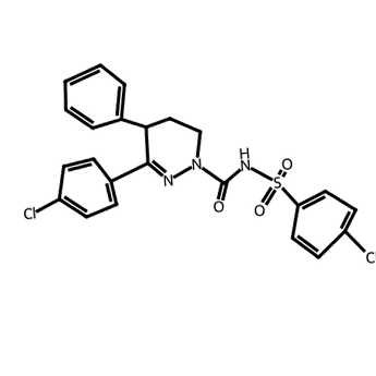 O=C(NS(=O)(=O)c1ccc(C(F)(F)F)cc1)N1CCC(c2ccccc2)C(c2ccc(Cl)cc2)=N1